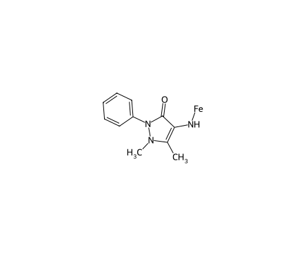 Cc1c([NH][Fe])c(=O)n(-c2ccccc2)n1C